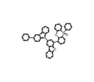 O=P1(c2ccccc2)c2ccccc2Oc2c(-c3cc(-n4c5ccccc5c5cc(-c6ccccc6)ccc54)cc4c3oc3ccccc34)cccc21